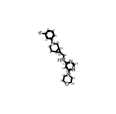 Fc1cccc(N2CCC3C(CNc4cc(N5CCOCC5)ncn4)C3C2)c1